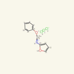 [Cl-].[Cl-].[Cl-].c1ccc([O]/[Ti+3]=[N]/c2ccco2)cc1